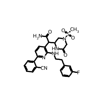 CS(=O)(=O)N1CC(=O)NC(C(C(N)=O)c2ccc(-c3ccccc3C#N)nc2NCCc2cccc(F)c2)C1